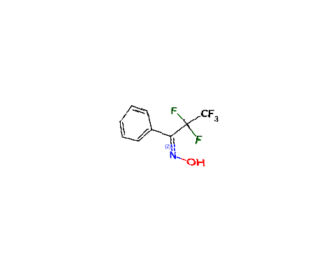 O/N=C(/c1ccccc1)C(F)(F)C(F)(F)F